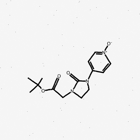 CC(C)(C)OC(=O)CN1CCN(c2cc[n+]([O-])cc2)C1=O